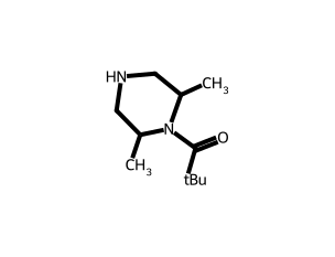 CC1CNCC(C)N1C(=O)C(C)(C)C